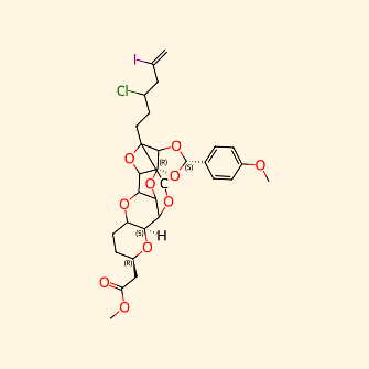 C=C(I)CC(Cl)CCC12COC3C4O[C@@]5(O[C@@H](c6ccc(OC)cc6)OC15)C(O2)C4OC1CC[C@H](CC(=O)OC)O[C@@H]13